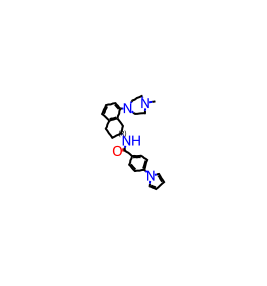 CN1CCN(c2cccc3c2C[C@H](NC(=O)c2ccc(-n4cccc4)cc2)CC3)CC1